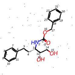 O=C(N[C@@H](CCc1ccccc1)[C@@H](O)CO)OCc1ccccc1